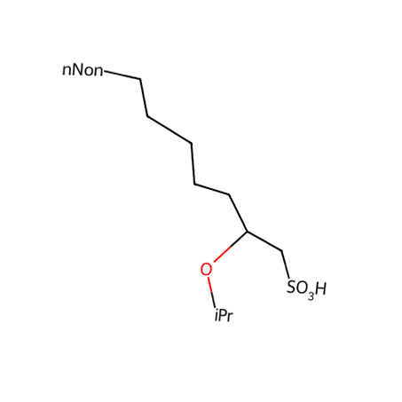 CCCCCCCCCCCCCCC(CS(=O)(=O)O)OC(C)C